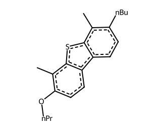 CCCCc1ccc2c(sc3c(C)c(OCCC)ccc32)c1C